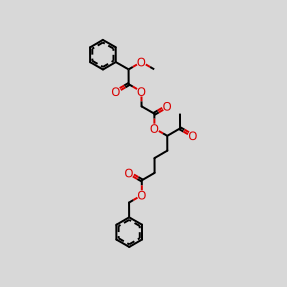 COC(C(=O)OCC(=O)OC(CCCC(=O)OCc1ccccc1)C(C)=O)c1ccccc1